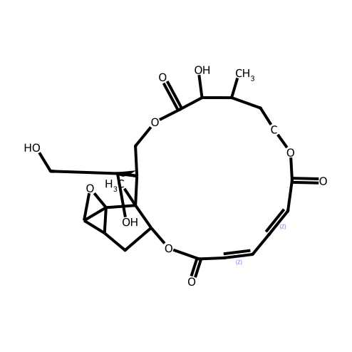 CC1CCOC(=O)/C=C\C=C/C(=O)OC2CC3C4OC34C2(C)C2(CCC(CO)CC2O)COC(=O)C1O